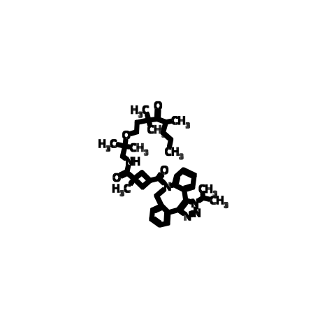 CCCC(C)C(=O)C(C)(C)CCOC(C)(C)CNC(=O)C1(C)CC(C(=O)N2Cc3ccccc3-c3nnn(C(C)C)c3-c3ccccc32)C1